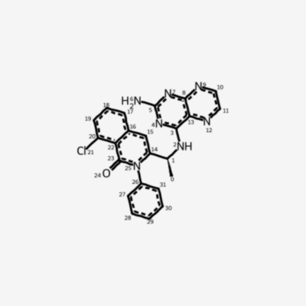 C[C@H](Nc1nc(N)nc2nccnc12)c1cc2cccc(Cl)c2c(=O)n1-c1ccccc1